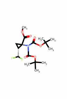 COC(=O)[C@@]1(N(C(=O)OC(C)(C)C)C(=O)OC(C)(C)C)C[C@H]1C(F)F